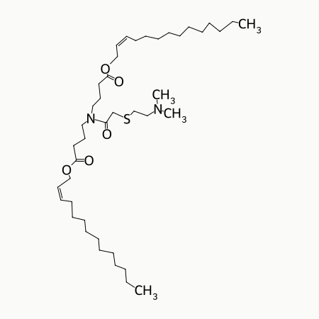 CCCCCCCCCCC/C=C\COC(=O)CCCN(CCCC(=O)OC/C=C\CCCCCCCCCCC)C(=O)CSCCN(C)C